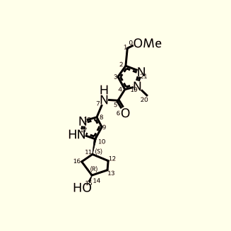 COCc1cc(C(=O)Nc2cc([C@H]3CC[C@@H](O)C3)[nH]n2)n(C)n1